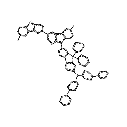 Cc1ccc2oc3ccc(-c4ccc5c(c4)c4cc(C)ccc4n5-c4ccc5c(c4)C(c4ccccc4)(c4ccccc4)c4cc(N(c6ccc(-c7ccccc7)cc6)c6ccc(-c7ccccc7)cc6)ccc4-5)cc3c2c1